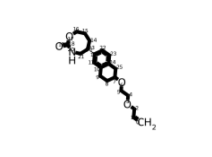 C=CCOCCOC1CCc2cc([C@H]3CCCOC(=O)NC3)ccc2C1